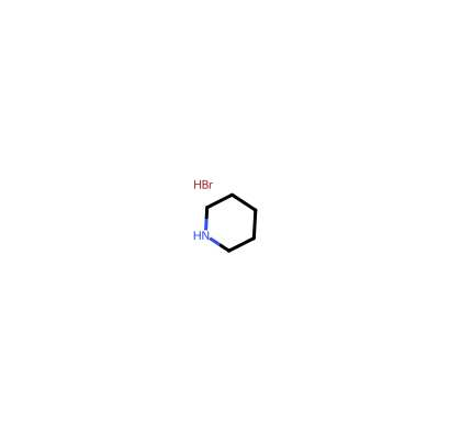 Br.C1CCNCC1